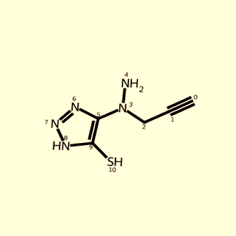 C#CCN(N)c1nn[nH]c1S